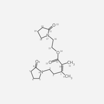 CC(CCN1CCCC1=O)=C(C)C(=O)OCCN1CCCC1=O